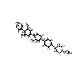 CCCCC1COC(c2ccc(-c3ccc(-c4cc(F)c(C(F)(F)OC(F)(F)F)c(F)c4)c(F)c3)cc2)OC1